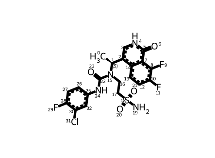 C[C@@H](c1c[nH]c(=O)c2c(F)c(F)ccc12)N(CCS(N)(=O)=O)C(=O)Nc1ccc(F)c(Cl)c1